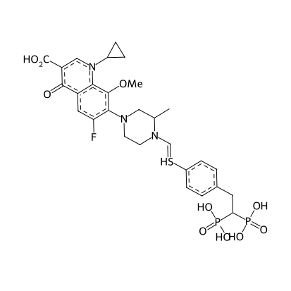 COc1c(N2CCN(C=[SH]c3ccc(CC(P(=O)(O)O)P(=O)(O)O)cc3)C(C)C2)c(F)cc2c(=O)c(C(=O)O)cn(C3CC3)c12